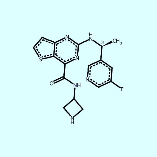 C[C@H](Nc1nc(C(=O)NC2CNC2)c2sccc2n1)c1cncc(F)c1